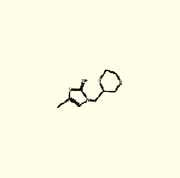 Cc1cn(CC2COCCO2)c(=N)s1